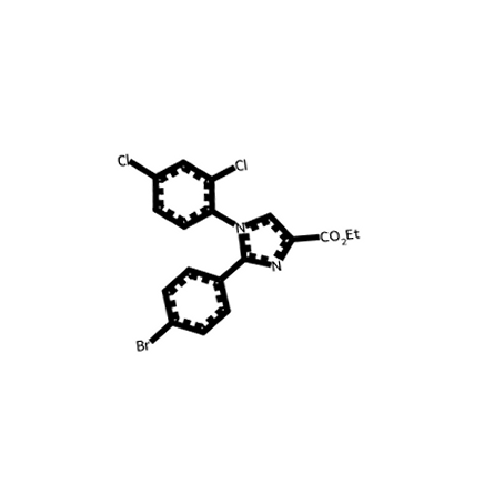 CCOC(=O)c1cn(-c2ccc(Cl)cc2Cl)c(-c2ccc(Br)cc2)n1